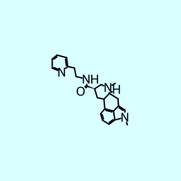 CN1C[C@H](C(=O)NCCc2ccccn2)CC2c3cccc4c3c(cn4C)C[C@H]21